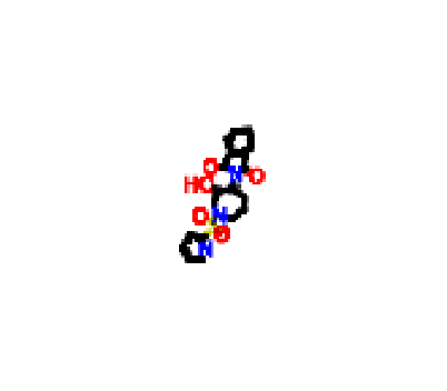 O=C1c2ccccc2C(=O)N1[C@H]1CCCN(S(=O)(=O)c2ccccn2)C[C@H]1O